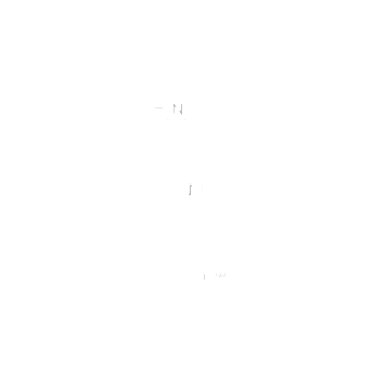 CCCCCCCCCCCCCCCCCCCCCCCCN.I